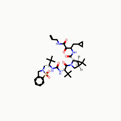 C=CCNC(=O)C(=O)C(CC1CC1)NC(=O)[C@@H]1[C@@H]2[C@H](CN1C(=O)[C@@H](NC(=O)N[C@H](CN1Cc3ccccc3S1(=O)=O)C(C)(C)C)C(C)(C)C)C2(C)C